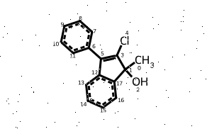 CC1(O)C(Cl)=C(c2ccccc2)c2ccccc21